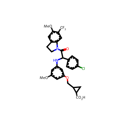 COc1cc(NC(C(=O)N2CCc3cc(OC)c(C(F)(F)F)cc32)c2ccc(Cl)cc2)cc(OCC2CC2C(=O)O)c1